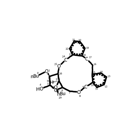 CCCCO[C@@H]1C(O)OC2COCc3ccccc3CCc3ccccc3COC1[C@@H]2OCCCC